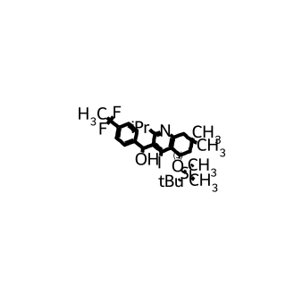 CC(C)c1nc2c(c(I)c1C(O)c1ccc(C(C)(F)F)cc1)[C@@H](O[Si](C)(C)C(C)(C)C)CC(C)(C)C2